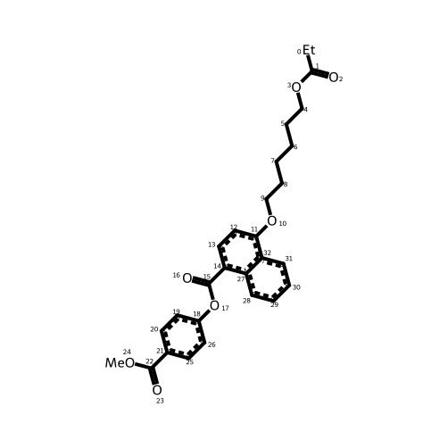 CCC(=O)OCCCCCCOc1ccc(C(=O)Oc2ccc(C(=O)OC)cc2)c2ccccc12